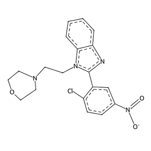 O=[N+]([O-])c1ccc(Cl)c(-c2nc3ccccc3n2CCN2CCOCC2)c1